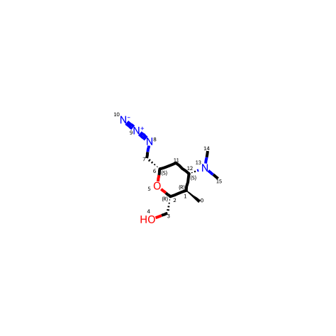 C[C@H]1[C@H](CO)O[C@H](CN=[N+]=[N-])C[C@@H]1N(C)C